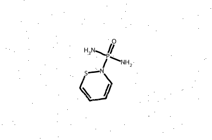 NP(N)(=O)N1C=CC=CS1